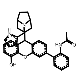 CC(=O)Nc1ccccc1-c1ccc2c(c1)Oc1c(O)cccc1C2C1CC2CCC(C1)N2Cc1ncc[nH]1